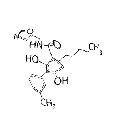 CCCCCc1cc(O)c(-c2cccc(C)c2)c(O)c1C(=O)NCc1cnco1